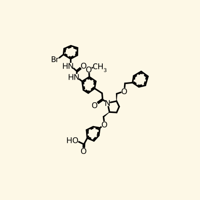 COc1cc(CC(=O)N2[C@@H](COCc3ccccc3)CC[C@H]2COc2ccc(C(=O)O)cc2)ccc1NC(=O)Nc1ccccc1Br